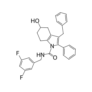 O=C(NCc1cc(F)cc(F)c1)n1c2c(c(Cc3ccccc3)c1-c1ccccc1)CC(O)CC2